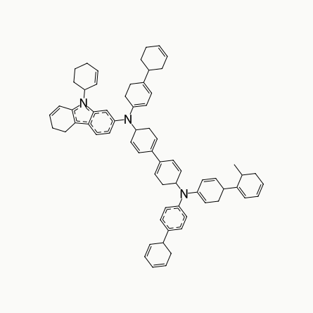 CC1CC=CC=C1C1C=CC(N(c2ccc(C3C=CC=CC3)cc2)C2C=CC(C3=CCC(N(C4=CC=C(C5CC=CCC5)CC4)c4ccc5c6c(n(C7C=CCCC7)c5c4)C=CCC6)C=C3)=CC2)=CC1